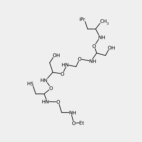 CCONCONC(CS)ONC(CO)ONCONC(CO)ONC(C)CC(C)C